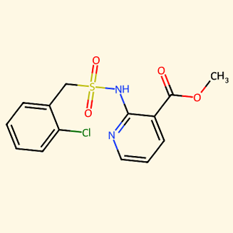 COC(=O)c1cccnc1NS(=O)(=O)Cc1ccccc1Cl